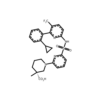 C[C@@]1(C(=O)O)CCCN(c2cccc(S(=O)(=O)Nc3ccc(C(F)(F)F)c(-c4ccccc4C4CC4)n3)n2)C1